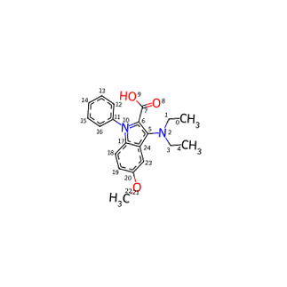 CCN(CC)c1c(C(=O)O)n(-c2ccccc2)c2ccc(OC)cc12